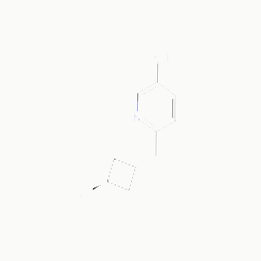 Cc1ccc(C[C@H]2C[C@H](C)C2)nc1